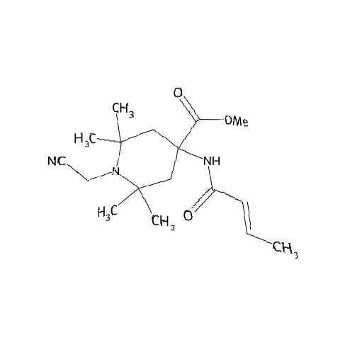 CC=CC(=O)NC1(C(=O)OC)CC(C)(C)N(CC#N)C(C)(C)C1